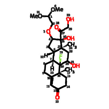 COC(COC1C[C@H]2[C@@H]3CCC4=CC(=O)CC[C@]4(C)[C@@]3(F)C(O)C[C@]2(C)[C@@]1(O)C(=O)CO)OC